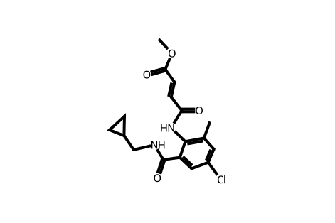 COC(=O)C=CC(=O)Nc1c(C)cc(Cl)cc1C(=O)NCC1CC1